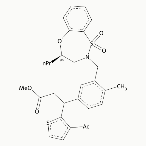 CCC[C@@H]1CN(Cc2cc(C(CC(=O)OC)c3sccc3C(C)=O)ccc2C)S(=O)(=O)c2ccccc2O1